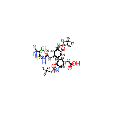 CC(C)(C)Cc1nc2cc(CC(=O)O)ccc2o1.Cc1nsc(NC(=O)Cc2ccc3oc(CC(C)(C)C)nc3c2)c1Cl